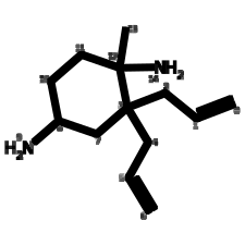 C=CCC1(CC=C)CC(N)CCC1(C)N